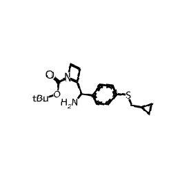 CC(C)(C)OC(=O)N1CCC1C(N)c1ccc(SCC2CC2)cc1